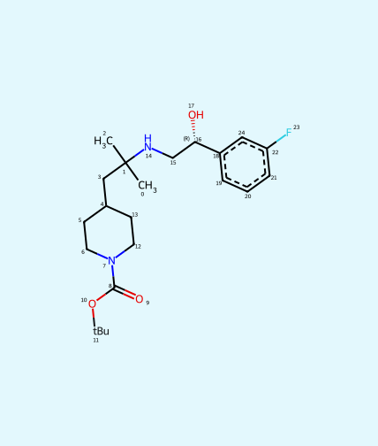 CC(C)(CC1CCN(C(=O)OC(C)(C)C)CC1)NC[C@H](O)c1cccc(F)c1